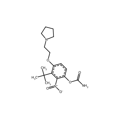 CC(C)(C)c1c(OCCN2CCCC2)ccc(OC(N)=O)c1[N+](=O)[O-]